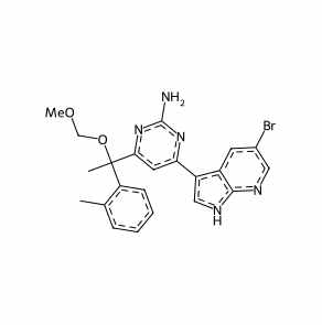 COCOC(C)(c1cc(-c2c[nH]c3ncc(Br)cc23)nc(N)n1)c1ccccc1C